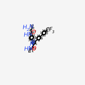 CCNC(=O)c1cc(-c2ccc(-c3ccc(C(F)(F)F)cc3)cc2)n(-c2ccc(NC(=O)CCN)cc2)n1